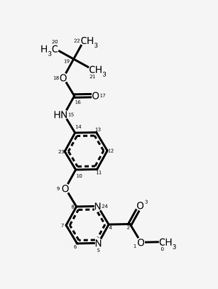 COC(=O)c1nccc(Oc2cccc(NC(=O)OC(C)(C)C)c2)n1